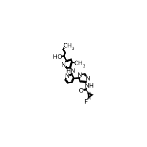 CCCC(O)c1cc(C)c(Nc2ncccc2-c2cc(NC(=O)[C@H]3C[C@H]3F)ncn2)cn1